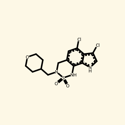 O=S1(=O)Nc2c(cc(Cl)c3c(Cl)c[nH]c23)CN1CC1CCOCC1